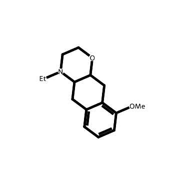 CCN1CCOC2Cc3c(cccc3OC)CC21